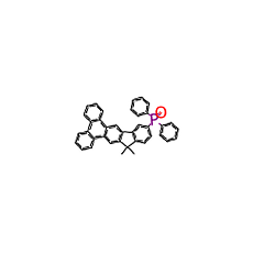 CC1(C)c2ccc(P(=O)(c3ccccc3)c3ccccc3)cc2-c2cc3c4ccccc4c4ccccc4c3cc21